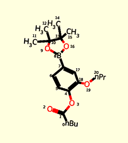 CCCCC(=O)Oc1ccc(B2OC(C)(C)C(C)(C)O2)cc1OCCC